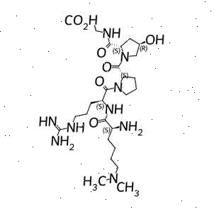 CN(C)CCCC[C@H](N)C(=O)N[C@@H](CCCNC(=N)N)C(=O)N1CCC[C@H]1C(=O)N1C[C@H](O)C[C@H]1C(=O)NCC(=O)O